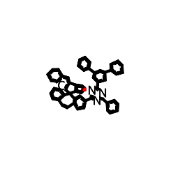 C1=Cc2ccc(-c3nc(-c4ccccc4)nc(-c4cc(-c5ccccc5)cc(-c5ccccc5)c4)n3)cc2C2(c3ccccc31)c1ccccc1-c1cc3ccccc3cc12